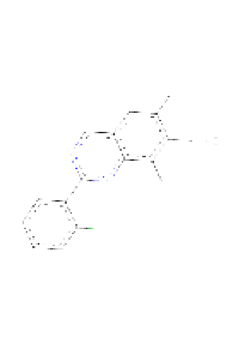 CCOC(=O)c1c(C)cc2cnc(-c3ccccc3Cl)nc2c1C